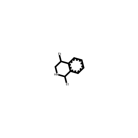 CCC1CNC(CC)c2ccccc21